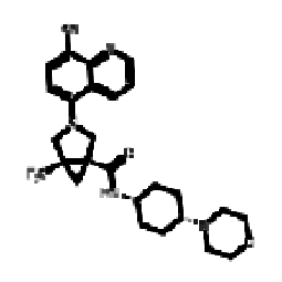 N#Cc1ccc(N2C[C@]3(C(=O)N[C@H]4CC[C@@H](N5CCOCC5)CC4)C[C@]3(C(F)(F)F)C2)c2cccnc12